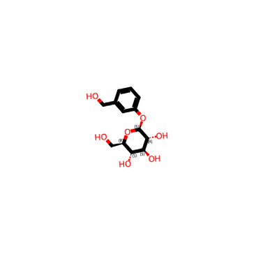 OCc1cccc(O[C@@H]2O[C@H](CO)[C@@H](O)[C@H](O)[C@H]2O)c1